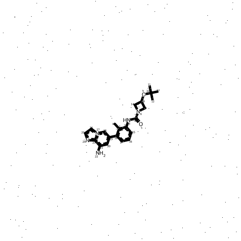 Cc1c(NC(=O)N2CC(OC(C)(C)C)C2)cccc1-c1cc(N)c2nccn2c1